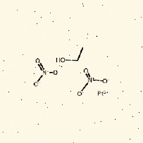 CCO.O=[N+]([O-])[O-].O=[N+]([O-])[O-].[Pt+2]